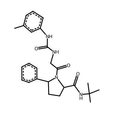 Cc1cccc(NC(=O)NCC(=O)N2C(C(=O)NC(C)(C)C)CCC2c2ccccc2)c1